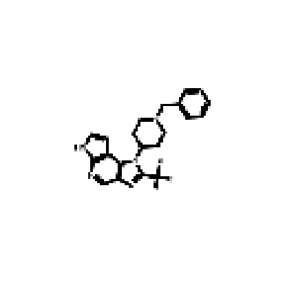 FC(F)(F)c1nc2cnc3[nH]ccc3c2n1C1CCN(Cc2ccccc2)CC1